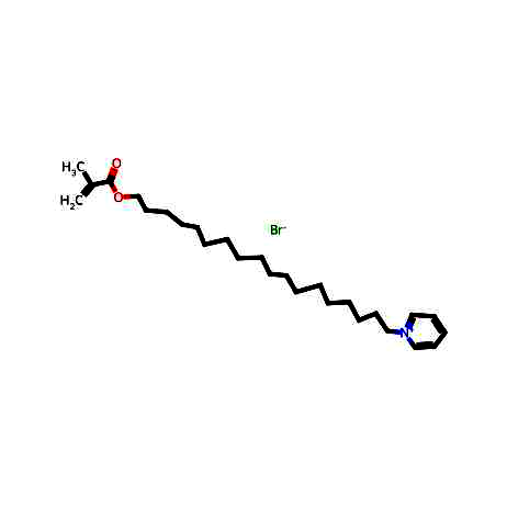 C=C(C)C(=O)OCCCCCCCCCCCCCCCCCC[n+]1ccccc1.[Br-]